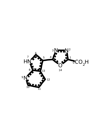 O=C(O)c1nnc(-c2c[nH]c3ncccc23)o1